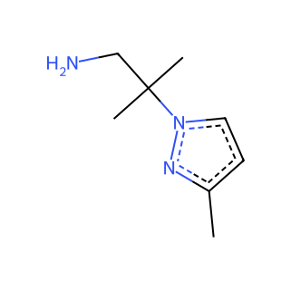 Cc1ccn(C(C)(C)CN)n1